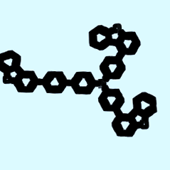 c1ccc2c(c1)oc1ccc(-c3ccc(-c4ccc(N(c5ccc(-c6cccc7oc8ccccc8c67)cc5)c5ccc(-c6cccc7oc8ccccc8c67)cc5)cc4)cc3)cc12